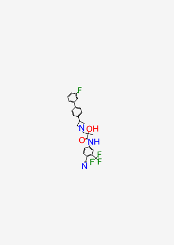 CC(O)(CN1CC(c2ccc(-c3cccc(F)c3)cc2)C1)C(=O)Nc1ccc(C#N)c(C(F)(F)F)c1